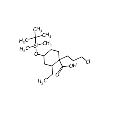 CCC1CC(O[Si](C)(C)C(C)(C)C)CCC1(CCCCl)C(=O)O